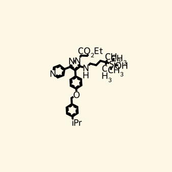 CCOC(=O)CCn1nc(-c2ccncc2)c(-c2ccc(OCc3ccc(C(C)C)cc3)cc2)c1NCCCC(C)(C)[Si](C)(C)O